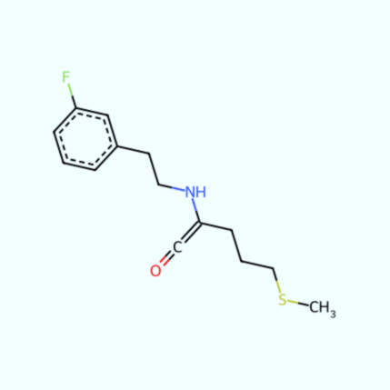 CSCCCC(=C=O)NCCc1cccc(F)c1